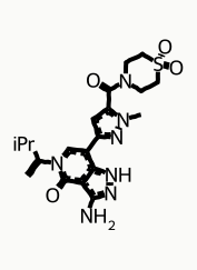 C=C(C(C)C)n1cc(-c2cc(C(=O)N3CCS(=O)(=O)CC3)n(C)n2)c2[nH]nc(N)c2c1=O